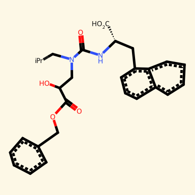 CC(C)CN(CC(O)C(=O)OCc1ccccc1)C(=O)N[C@@H](Cc1cccc2ccccc12)C(=O)O